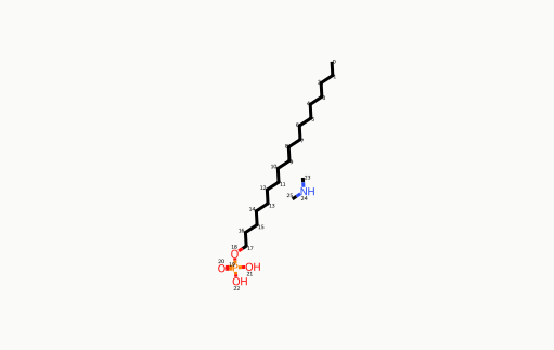 CCCCCCCCCCCCCCCCCCOP(=O)(O)O.CNC